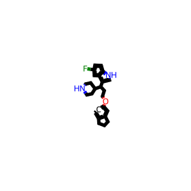 Fc1ccc2[nH]cc(C(CCOc3ccc4c(c3)CCC4)C3CCNCC3)c2c1